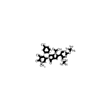 [2H]C([2H])([2H])Oc1ncc(-c2cc3c(n2C(C)C)[C@@H](c2ccc(Cl)cc2)N(c2cc(Cl)c(=O)n(C)c2)C3=O)c(OC([2H])([2H])[2H])n1